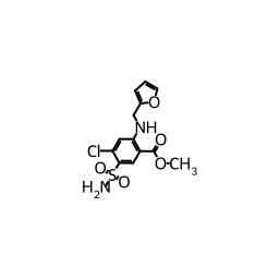 COC(=O)c1cc(S(N)(=O)=O)c(Cl)cc1NCc1ccco1